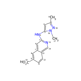 Cc1cc(Nc2cc3cc(C(=O)O)ccc3cn2)n(C)n1